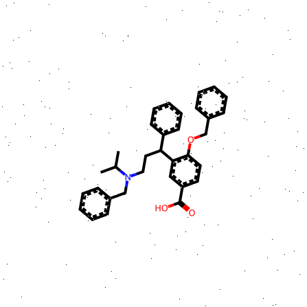 CC(C)N(CCC(c1ccccc1)c1cc(C(=O)O)ccc1OCc1ccccc1)Cc1ccccc1